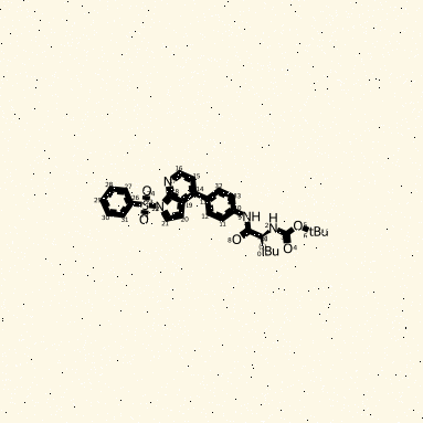 CC[C@H](C)[C@H](NC(=O)OC(C)(C)C)C(=O)Nc1ccc(-c2ccnc3c2ccn3S(=O)(=O)c2ccccc2)cc1